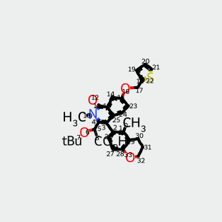 Cc1c(-c2c(C(OC(C)(C)C)C(=O)O)n(C)c(=O)c3cc(OCc4cccs4)ccc23)ccc2c1CCCO2